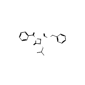 CC(C)C[C@H]1C(=O)N(C(=O)c2ccccc2)[C@@H]1C(=O)OCc1ccccc1